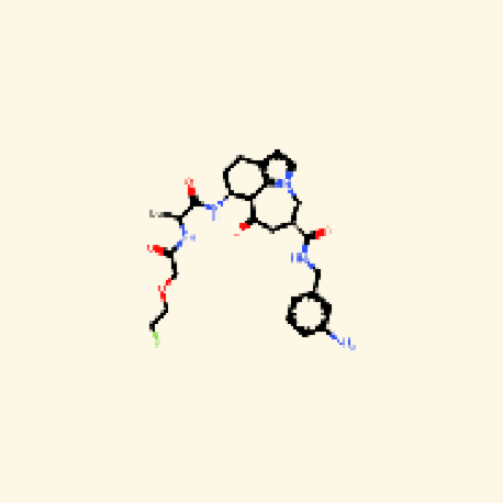 CCC(C)C(NC(=O)COCCF)C(=O)N[C@H]1CCc2ccn3c2C1C(=O)C[C@H](C(=O)NCc1cccc(N)c1)C3